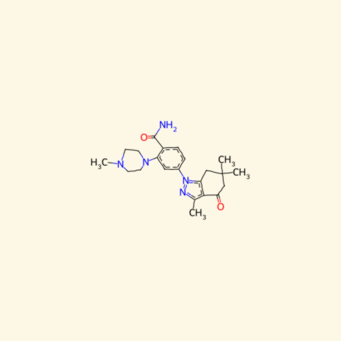 Cc1nn(-c2ccc(C(N)=O)c(N3CCN(C)CC3)c2)c2c1C(=O)CC(C)(C)C2